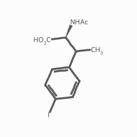 CC(=O)N[C@H](C(=O)O)C(C)c1ccc(I)cc1